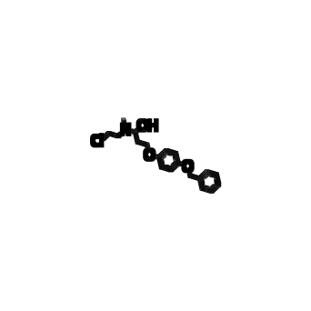 CN(CCCl)C(O)CCOc1ccc(OCc2ccccc2)cc1